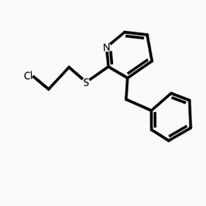 ClCCSc1ncccc1Cc1ccccc1